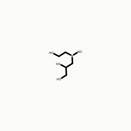 O=NN(CCO)CC(O)CO